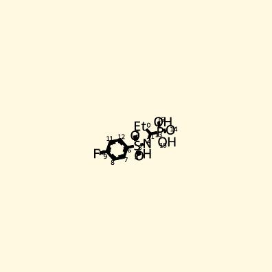 CCC(NS(=O)(=O)c1ccc(F)cc1)P(=O)(O)O